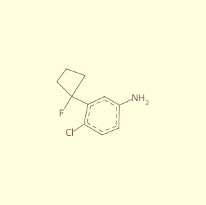 Nc1ccc(Cl)c(C2(F)CCC2)c1